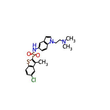 Cc1c(S(=O)(=O)Nc2ccc3c(ccn3CCN(C)C)c2)sc2ccc(Cl)cc12